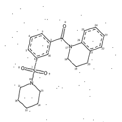 O=C(c1cccc(S(=O)(=O)N2CCCCC2)c1)N1CCCc2ccccc21